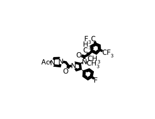 CC(=O)N1CCN(CC(=O)N2C[C@@H](N(C)C(=O)C(C)(C)c3cc(C(F)(F)F)cc(C(F)(F)F)c3)[C@H](c3ccc(F)cc3)C2)CC1